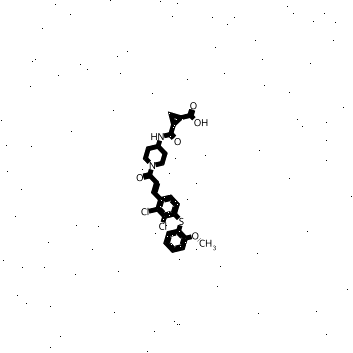 COc1ccccc1Sc1ccc(C=CC(=O)N2CCC(NC(=O)C3CC3C(=O)O)CC2)c(Cl)c1Cl